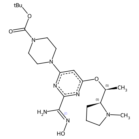 C[C@H](Oc1cc(N2CCN(C(=O)OC(C)(C)C)CC2)nc(/C(N)=N/O)n1)[C@@H]1CCCN1C